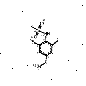 Cc1cc(CN)cc(F)c1NS(C)(=O)=O